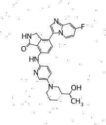 C[C@H](O)[C@@H]1CCCN(c2ccc(Nc3ccc(-c4cnc5cc(F)ccn45)c4c3C(=O)NC4)nc2)C1